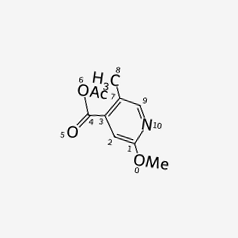 COc1cc(C(=O)OC(C)=O)c(C)cn1